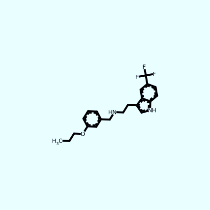 CCCOc1cccc(CNCCc2c[nH]c3ccc(C(F)(F)F)cc23)c1